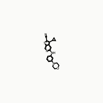 N#Cc1sc2cnc(Nc3cccc(N4CCOCC4)c3)cc2c1C1CC1